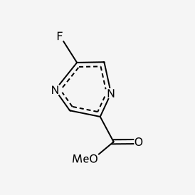 COC(=O)c1cnc(F)cn1